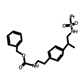 CC(CNS(=O)(=O)C(C)C)c1ccc(CCNC(=O)OCc2ccccc2)cc1